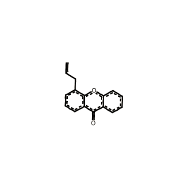 C=CCc1cccc2c(=O)c3ccccc3oc12